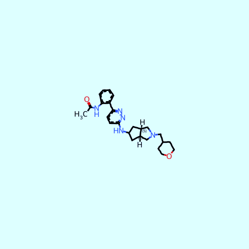 CC(=O)Nc1ccccc1-c1ccc(NC2C[C@@H]3CN(CC4CCOCC4)C[C@@H]3C2)nn1